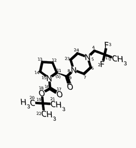 CC(F)(F)CN1CCN(C(=O)[C@@H]2CCCN2C(=O)OC(C)(C)C)CC1